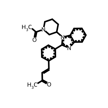 CC(=O)/C=C/c1cccc(-c2nc3ccccc3n2C2CCCN(C(C)=O)C2)c1